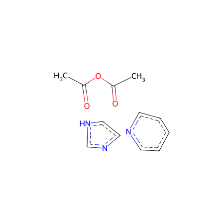 CC(=O)OC(C)=O.c1c[nH]cn1.c1ccncc1